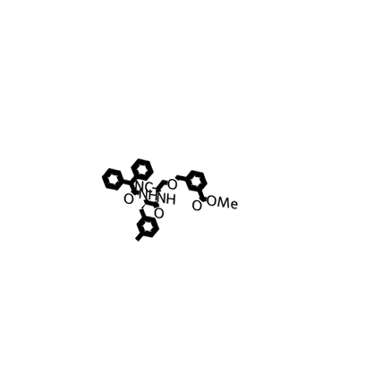 COC(=O)c1cccc(COC[C@@H](C#N)NC(=O)[C@H](Cc2cccc(C)c2)NC(=O)C(c2ccccc2)c2ccccc2)c1